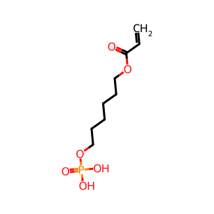 C=CC(=O)OCCCCCCOP(=O)(O)O